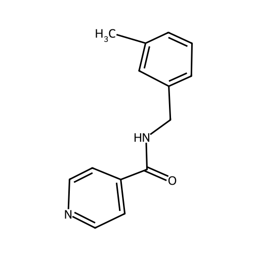 Cc1cccc(CNC(=O)c2ccncc2)c1